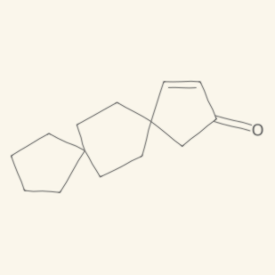 O=C1C=CC2(CCC3(CCCC3)CC2)C1